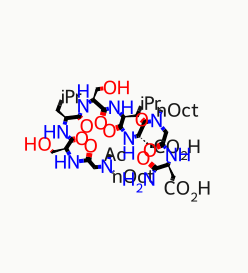 CCCCCCCCN(CC(=O)N[C@@H](CO)C(=O)N[C@@H](CC(C)C)C(=O)N[C@@H](CO)C(=O)N[C@@H](CC(C)C)C(=O)N[C@@H](CC(=O)O)C(=O)N(CCCCCCCC)CC(=O)N[C@@H](CC(=O)O)C(N)=O)C(C)=O